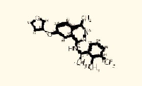 Cc1c([C@@H](C)Nc2nnc(C)c3ccc(O[C@H]4CCOC4)cc23)cccc1C(F)(F)F